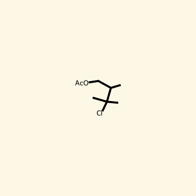 CC(=O)OCC(C)C(C)(C)Cl